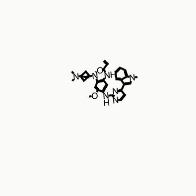 C=CC(=O)Nc1cc(Nc2nccc(-c3cn(C)c4ccccc34)n2)c(OC)cc1N(C)C12CC(N(C)C)(C1)C2